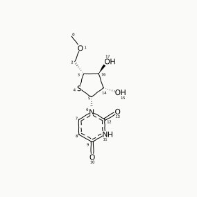 COC[C@H]1S[C@@H](n2ccc(=O)[nH]c2=O)[C@@H](O)[C@@H]1O